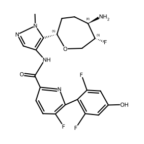 Cn1ncc(NC(=O)c2ccc(F)c(-c3c(F)cc(O)cc3F)n2)c1[C@@H]1CC[C@@H](N)[C@H](F)CO1